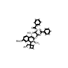 COc1ccc2c(c1)C(C1(CC(C)C)CCC1)N(C)CC2.O=C(OC(C(=O)O)C(OC(=O)c1ccccc1)C(=O)O)c1ccccc1